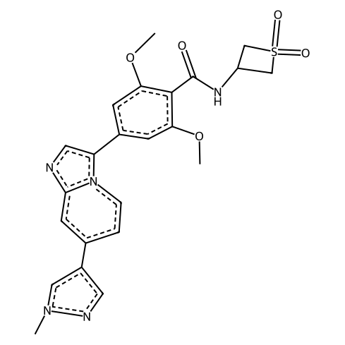 COc1cc(-c2cnc3cc(-c4cnn(C)c4)ccn23)cc(OC)c1C(=O)NC1CS(=O)(=O)C1